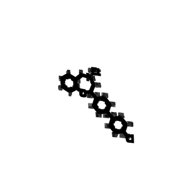 CCN1Cc2ccccc2OC(c2ccc(-c3ccc(Cl)cc3)cc2)C1